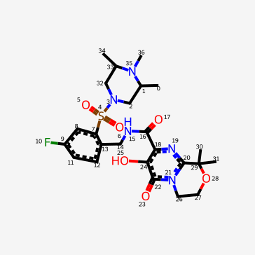 CC1CN(S(=O)(=O)c2cc(F)ccc2CNC(=O)c2nc3n(c(=O)c2O)CCOC3(C)C)CC(C)N1C